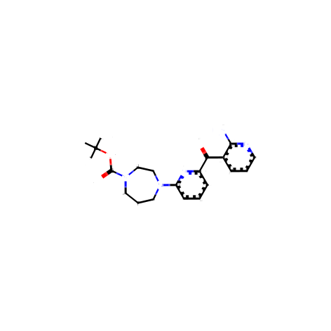 CC(C)(C)OC(=O)N1CCCN(c2cccc(C(=O)c3cccnc3N)n2)CC1